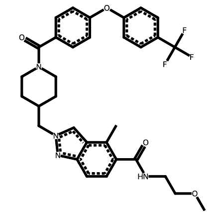 COCCNC(=O)c1ccc2nn(CC3CCN(C(=O)c4ccc(Oc5ccc(C(F)(F)F)cc5)cc4)CC3)cc2c1C